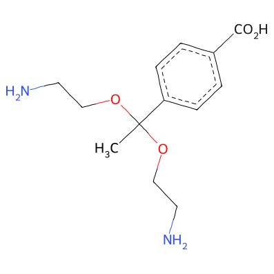 CC(OCCN)(OCCN)c1ccc(C(=O)O)cc1